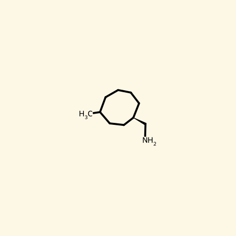 CC1CCCC[C@@H](CN)CC1